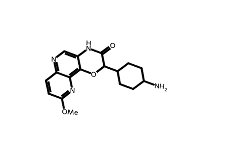 COc1ccc2ncc3c(c2n1)OC(C1CCC(N)CC1)C(=O)N3